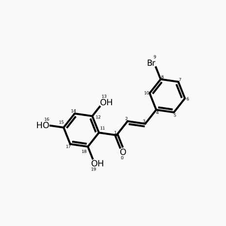 O=C(/C=C/c1cccc(Br)c1)c1c(O)cc(O)cc1O